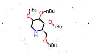 CCCCOC[C@H]1NCC(OCCCC)[C@@H](OCCCC)[C@@H]1OCCCC